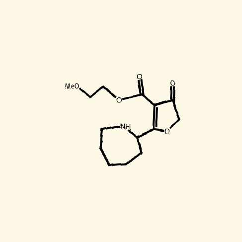 COCCOC(=O)C1=C(C2CCCCCN2)OCC1=O